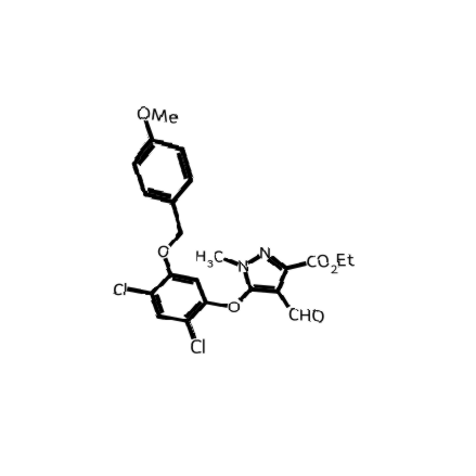 CCOC(=O)c1nn(C)c(Oc2cc(OCc3ccc(OC)cc3)c(Cl)cc2Cl)c1C=O